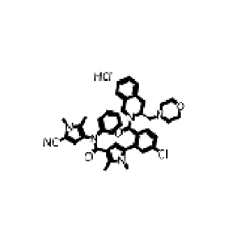 Cc1c(N(C(=O)c2cc(-c3cc(Cl)ccc3C(=O)N3Cc4ccccc4C[C@H]3CN3CCOCC3)n(C)c2C)c2ccccc2)cc(C#N)n1C.Cl